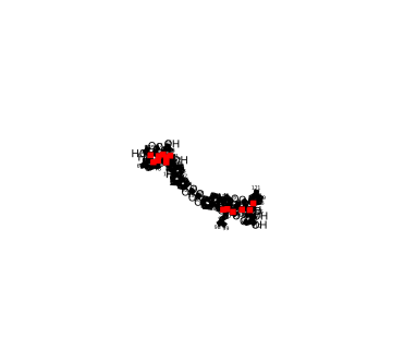 CC(=O)OC1C(O[C@H]2C[C@H]3[C@@H]4CC=C5C[C@H](OC(=O)OC(=O)O[C@H]6CC[C@@]7(C)C(=CC[C@@H]8C7CC[C@@]7(C)[C@H]8C[C@H](OC8OCC(O)C(OC9OCC(O)C(O)C9OC(=O)c9ccc(C)cc9)C8C)[C@]7(O)[C@H](C)C(=O)CCC(C)C)C6)CC[C@]5(C)C4CC[C@]3(C)[C@@]2(O)[C@H](C)C(=O)CCC(C)C)OCC(O)C1OC1OCC(O)C(O)C1OC(=O)c1ccc(C)cc1